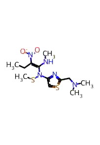 CCC(=C(NC)N(SC)c1csc(CN(C)C)n1)[N+](=O)[O-]